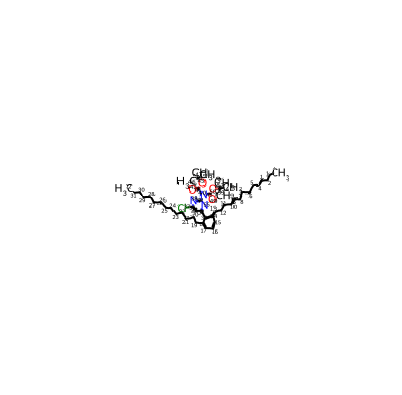 CCCCCCCCCCCCCCc1cccc(CCCCCCCCCCCCCC)c1-c1cc(Cl)nc(N(C(=O)OC(C)(C)C)C(=O)OC(C)(C)C)n1